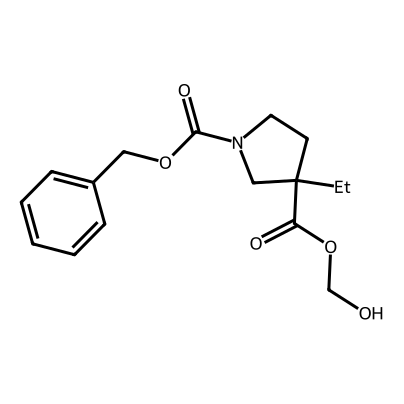 CCC1(C(=O)OCO)CCN(C(=O)OCc2ccccc2)C1